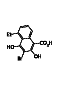 CCc1cccc2c(C(=O)O)c(O)c(Br)c(O)c12